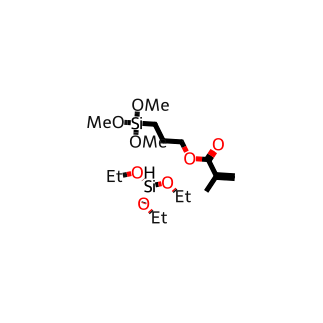 C=C(C)C(=O)OCCC[Si](OC)(OC)OC.CCO[SiH](OCC)OCC